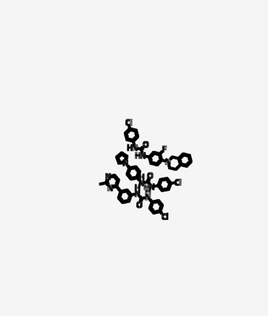 Cc1nccc(-c2cccc(NC(=O)Nc3ccc(Cl)cc3)c2)n1.O=C(Nc1ccc(Cl)cc1)Nc1ccc(-n2cccc2)cc1.O=C(Nc1ccc(Cl)cc1)Nc1ccc(N2CCc3ccccc3C2)c(F)c1